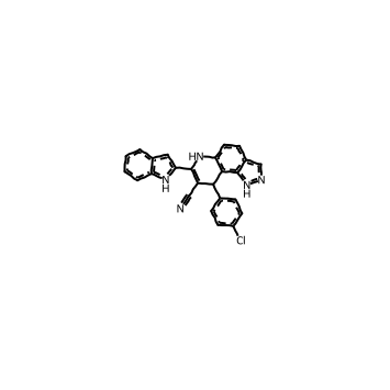 N#CC1=C(c2cc3ccccc3[nH]2)Nc2ccc3cn[nH]c3c2C1c1ccc(Cl)cc1